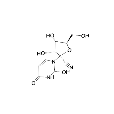 N#C[C@@]1(N2C=CC(=O)NC2O)O[C@H](CO)[C@@H](O)[C@H]1O